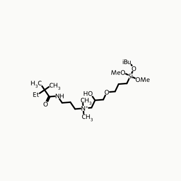 CCC(C)O[Si](CCCOCC(O)C[N+](C)(C)CCCNC(=O)C(C)(C)CC)(OC)OC